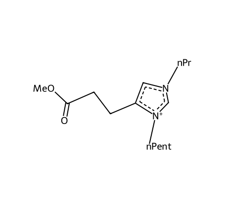 CCCCC[n+]1cn(CCC)cc1CCC(=O)OC